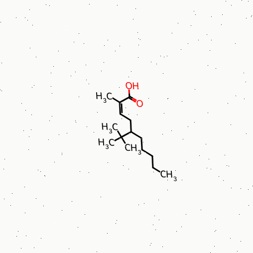 CCCCCC(CC=C(C)C(=O)O)C(C)(C)C